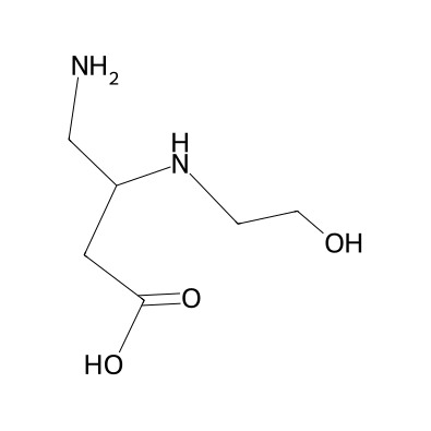 NCC(CC(=O)O)NCCO